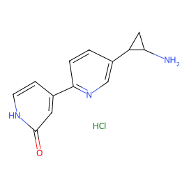 Cl.NC1CC1c1ccc(-c2cc[nH]c(=O)c2)nc1